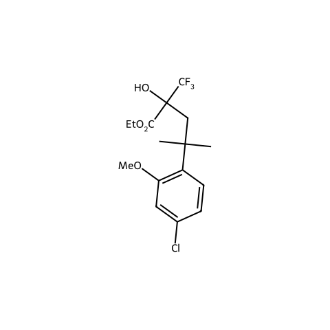 CCOC(=O)C(O)(CC(C)(C)c1ccc(Cl)cc1OC)C(F)(F)F